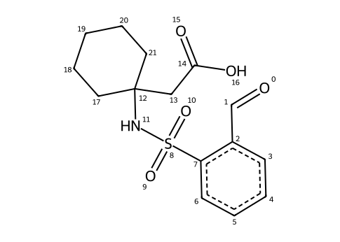 O=Cc1ccccc1S(=O)(=O)NC1(CC(=O)O)CCCCC1